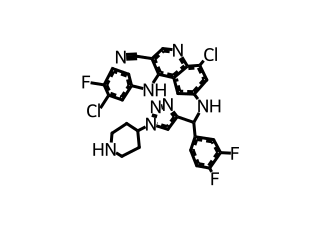 N#Cc1cnc2c(Cl)cc(NC(c3ccc(F)c(F)c3)c3cn(C4CCNCC4)nn3)cc2c1Nc1ccc(F)c(Cl)c1